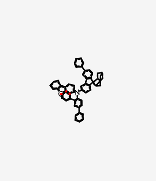 c1ccc(-c2ccc(N(c3ccc4c(c3)-c3cc(-c5ccccc5)ccc3C43C4CC5CC(C4)C3C5)c3ccc4c(c3)oc3ccccc34)c(-c3ccccc3)c2)cc1